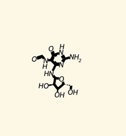 Nc1nc(NC2O[C@H](CO)[C@@H](O)[C@H]2O)c(NC=O)c(=O)[nH]1